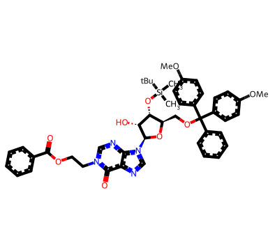 COc1ccc(C(OC[C@H]2O[C@@H](n3cnc4c(=O)n(CCOC(=O)c5ccccc5)cnc43)[C@H](O)[C@@H]2O[Si](C)(C)C(C)(C)C)(c2ccccc2)c2ccc(OC)cc2)cc1